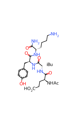 CC[C@H](C)[C@H](NC(=O)[C@H](CCC(=O)O)NC(C)=O)C(=O)N[C@@H](Cc1ccc(O)cc1)C(=O)N[C@@H](CCCCN)C(N)=O